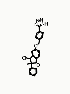 CC1(c2ccccc2)C(=O)c2ccc(OCc3ccc(-c4nnn[nH]4)cc3)cc2C1Cl